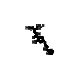 O=C(O)NC(CNC(=O)c1ccc(OCCNC2=NCCN2)cc1O)C(=O)O